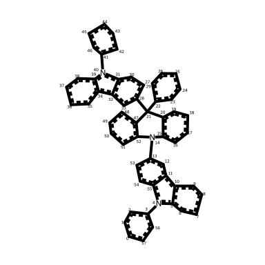 c1ccc(-n2c3ccccc3c3cc(N4c5ccccc5C(c5ccccc5)(c5ccc6c(c5)c5ccccc5n6-c5ccccc5)c5ccccc54)ccc32)cc1